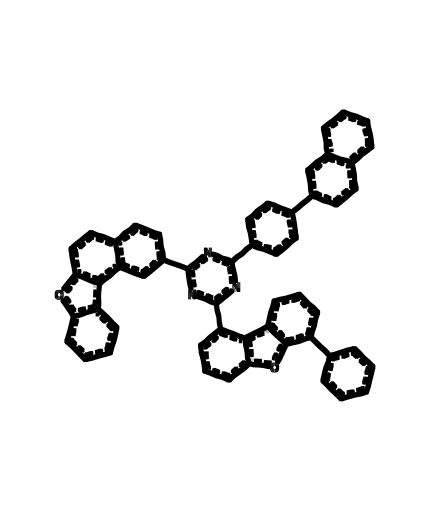 c1ccc(-c2cccc3c2oc2cccc(-c4nc(-c5ccc(-c6ccc7ccccc7c6)cc5)nc(-c5ccc6ccc7oc8ccccc8c7c6c5)n4)c23)cc1